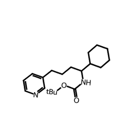 CC(C)(C)OC(=O)NC(CCCc1cccnc1)C1CCCCC1